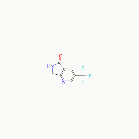 O=C1NCc2ncc(C(F)(F)F)cc21